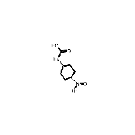 O=C(O)N[C@H]1CC[C@H]([N+](=O)[O-])CC1